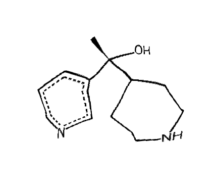 C[C@](O)(c1cccnc1)C1CCNCC1